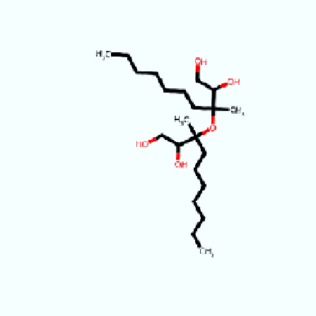 CCCCCCCC(C)(OC(C)(CCCCCCC)C(O)CO)C(O)CO